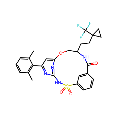 Cc1cccc(C)c1-c1cc2nc(n1)NS(=O)(=O)c1cccc(c1)C(=O)NC(CCC1(C(F)(F)F)CC1)CO2